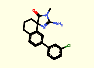 CN1C(=O)C2(CCCc3ccc(-c4cccc(Cl)c4)cc32)N=C1N